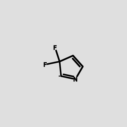 FC1(F)[C]=NC=C1